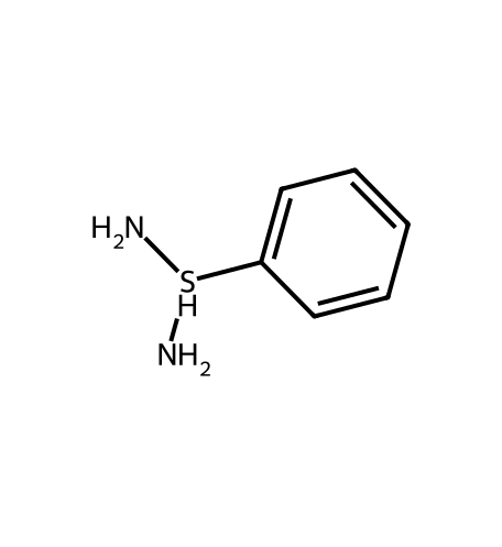 N[SH](N)c1ccccc1